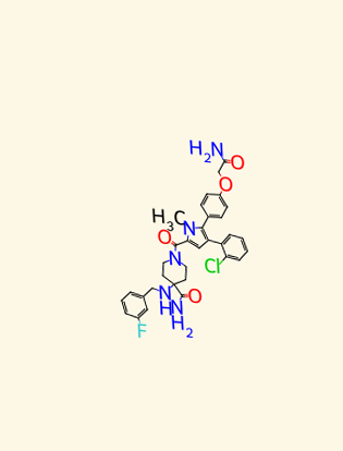 Cn1c(C(=O)N2CCC(NCc3cccc(F)c3)(C(N)=O)CC2)cc(-c2ccccc2Cl)c1-c1ccc(OCC(N)=O)cc1